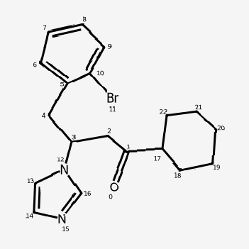 O=C(CC(Cc1ccccc1Br)n1ccnc1)C1CCCCC1